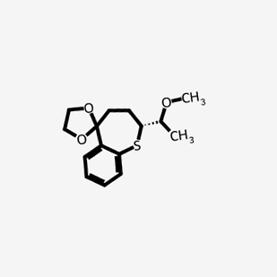 COC(C)[C@H]1CCC2(OCCO2)c2ccccc2S1